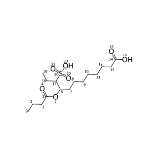 CCCC(=O)OC(CCCCCCCC(=O)O)C(CC)S(=O)(=O)O